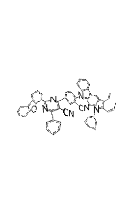 C=Cc1c(/C=C\C)n(-c2ccccc2)c2cc3c(cc12)c1ccccc1n3-c1ccc(-c2nc(-c3cccc4c3oc3ccccc34)nc(-c3ccccc3)c2C#N)cc1C#N